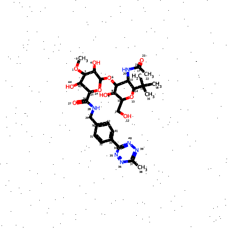 COC1C(O)C(OC2C(O)C(CO)OC(C(C)(C)C)C2NC(C)=O)OC(C(=O)NCc2ccc(-c3nnc(C)nn3)cc2)C1O